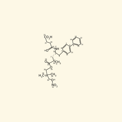 C[C@H](C[C@@H](Cc1ccc(-c2ccccc2)cc1)NC(=O)CCC(=O)O)C(=O)OCC(C)(C)CO[N+](=O)[O-]